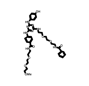 COCCOCCOCCNC(=O)c1ccc(Nc2nc(NCCOCCOCCNC(=O)c3ccccc3)nc(Nc3ccc(O)cc3)n2)cc1